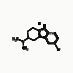 CN(C)C1CCc2[nH]c3ccc(Br)cc3c2C1.I